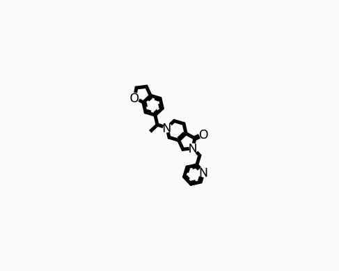 CC(c1ccc2c(c1)OCC2)N1CCC2=C(CN(Cc3ccccn3)C2=O)C1